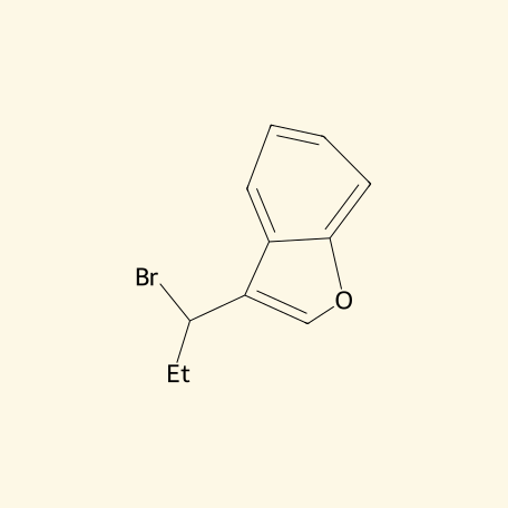 CCC(Br)c1coc2ccccc12